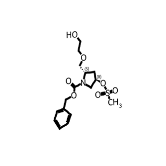 CS(=O)(=O)O[C@@H]1C[C@@H](COCCO)N(C(=O)OCc2ccccc2)C1